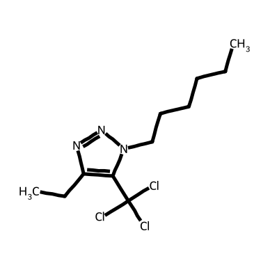 CCCCCCn1nnc(CC)c1C(Cl)(Cl)Cl